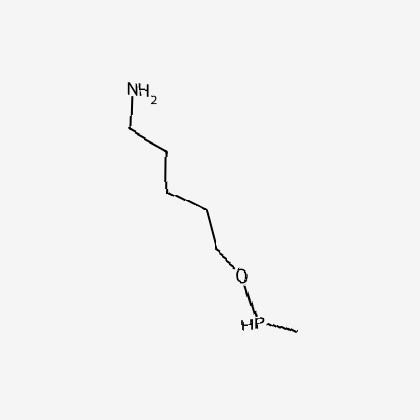 CPOCCCCCN